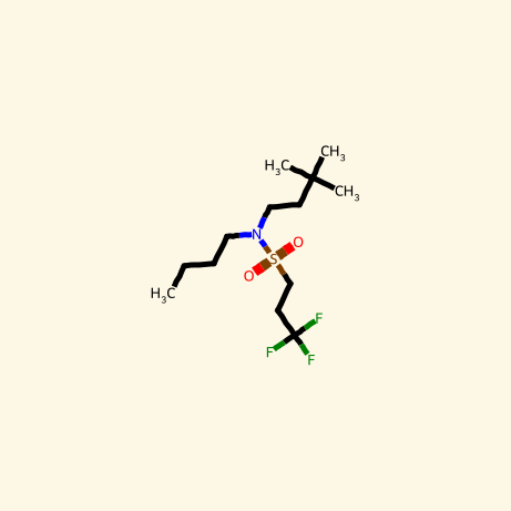 CCCCN(CCC(C)(C)C)S(=O)(=O)CCC(F)(F)F